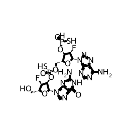 Nc1nc2c(ncn2[C@@H]2O[C@H](CO)[C@@H](F)[C@H]2OP(=O)(S)OC[C@H]2O[C@@H](n3nnc4c(N)ncnc43)[C@@H](F)[C@@H]2O[PH](=O)S)c(=O)[nH]1